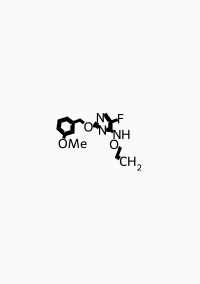 C=CCONc1nc(OCc2cccc(OC)c2)ncc1F